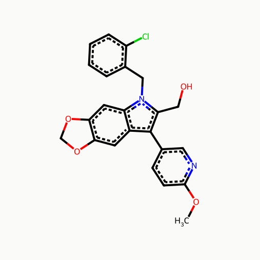 COc1ccc(-c2c(CO)n(Cc3ccccc3Cl)c3cc4c(cc23)OCO4)cn1